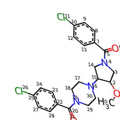 COC1CN(C(=O)c2ccc(Cl)cc2)CC1N1CCN(C(=O)c2ccc(Cl)cc2)CC1